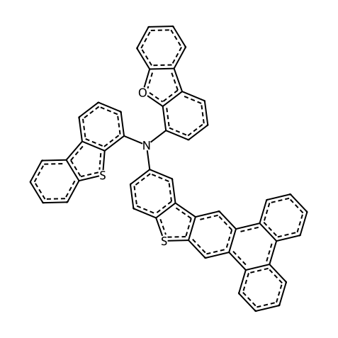 c1ccc2c(c1)oc1c(N(c3ccc4sc5cc6c7ccccc7c7ccccc7c6cc5c4c3)c3cccc4c3sc3ccccc34)cccc12